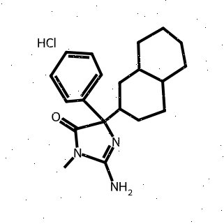 CN1C(=O)C(c2ccccc2)(C2CCC3CCCCC3C2)N=C1N.Cl